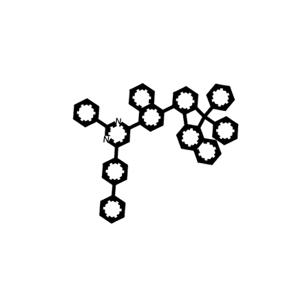 c1ccc(-c2ccc(-c3cc(-c4ccc(-c5cccc6c5-c5ccc7ccccc7c5C6(c5ccccc5)c5ccccc5)c5ccccc45)nc(-c4ccccc4)n3)cc2)cc1